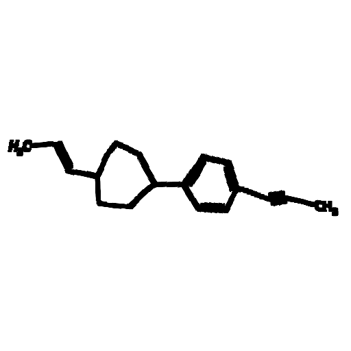 CC#Cc1ccc(C2CCC(C=CC)CC2)cc1